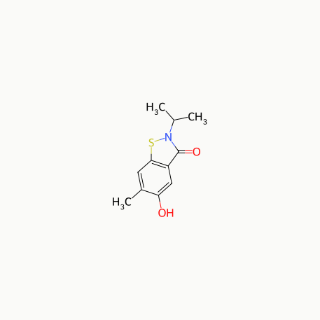 Cc1cc2sn(C(C)C)c(=O)c2cc1O